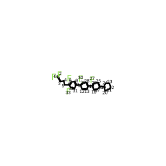 FC(F)=CCCc1c(F)cc(-c2ccc(-c3ccc(C4CCCCC4)cc3F)cc2F)cc1F